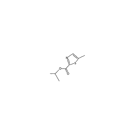 Cc1cnc(C(=O)OC(C)C)s1